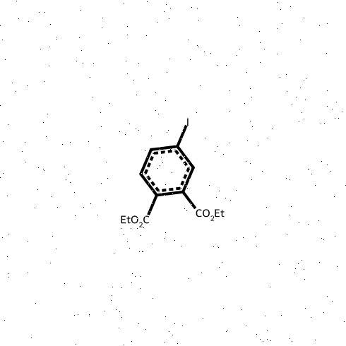 CCOC(=O)c1ccc(I)cc1C(=O)OCC